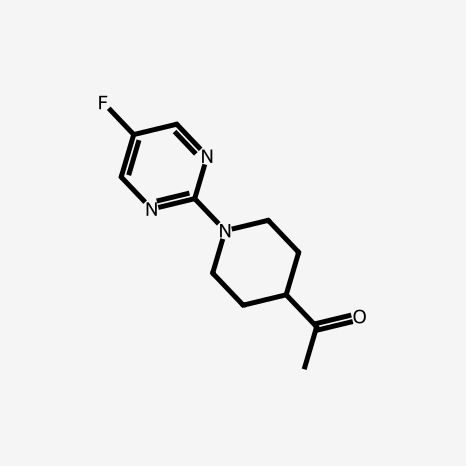 CC(=O)C1CCN(c2ncc(F)cn2)CC1